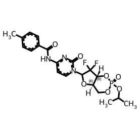 Cc1ccc(C(=O)Nc2ccn(C3O[C@@H]4COP(=O)(OC(C)C)O[C@H]4C3(F)F)c(=O)n2)cc1